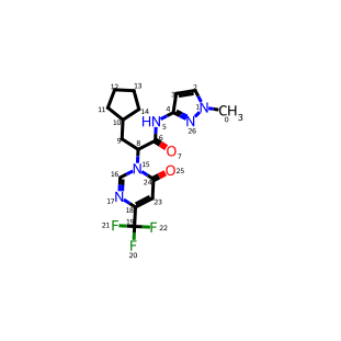 Cn1ccc(NC(=O)C(CC2CCCC2)n2cnc(C(F)(F)F)cc2=O)n1